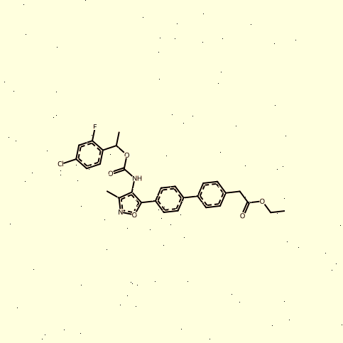 CCOC(=O)Cc1ccc(-c2ccc(-c3onc(C)c3NC(=O)OC(C)c3ccc(Cl)cc3F)cc2)cc1